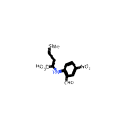 CSCCC(Nc1ccc([N+](=O)[O-])cc1C=O)C(=O)O